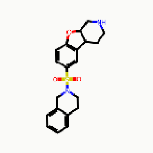 O=S(=O)(c1ccc2c(c1)C1CCNCC1O2)N1CCc2ccccc2C1